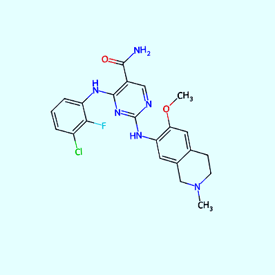 COc1cc2c(cc1Nc1ncc(C(N)=O)c(Nc3cccc(Cl)c3F)n1)CN(C)CC2